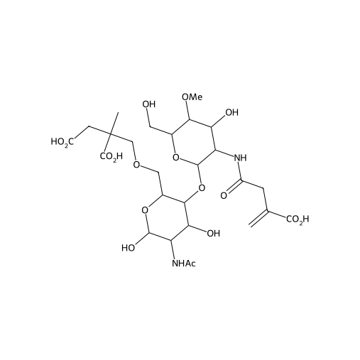 C=C(CC(=O)NC1C(OC2C(COCC(C)(CC(=O)O)C(=O)O)OC(O)C(NC(C)=O)C2O)OC(CO)C(OC)C1O)C(=O)O